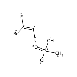 CP(=O)(O)O.FC=C(F)Br